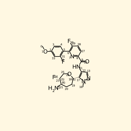 COc1ccc(-c2nc(C(=O)Nc3cnn(C)c3[C@@H]3CC[C@@H](N)[C@H](F)CO3)ccc2F)c(F)c1